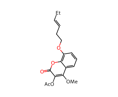 CC/C=C/CCOc1cccc2c(OC)c(OC(C)=O)c(=O)oc12